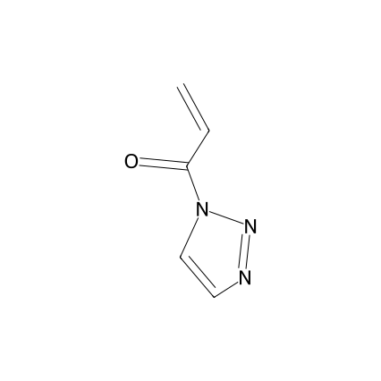 C=CC(=O)n1ccnn1